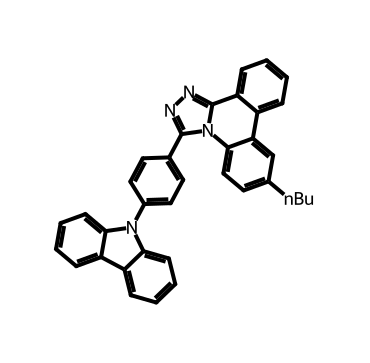 CCCCc1ccc2c(c1)c1ccccc1c1nnc(-c3ccc(-n4c5ccccc5c5ccccc54)cc3)n21